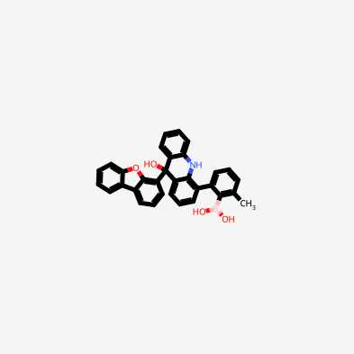 Cc1cccc(-c2cccc3c2Nc2ccccc2C3(O)c2cccc3c2oc2ccccc23)c1B(O)O